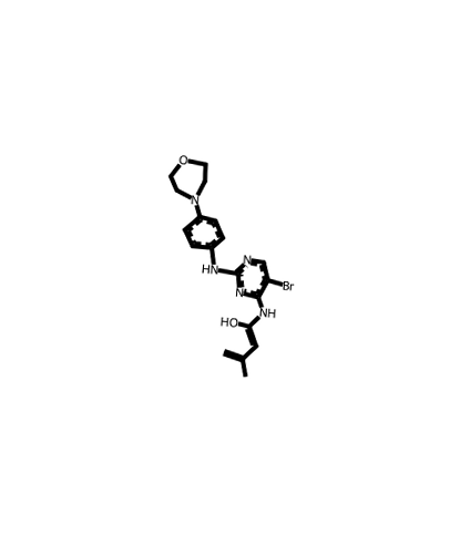 C=C(C)/C=C(\O)Nc1nc(Nc2ccc(N3CCOCC3)cc2)ncc1Br